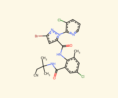 Cc1cc(Cl)cc(C(=O)NC(C)(C)CC#N)c1NC(=O)c1cc(Br)nn1-c1ncccc1Cl